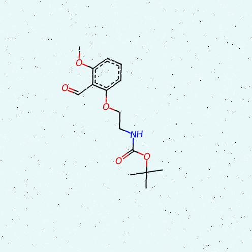 COc1cccc(OCCNC(=O)OC(C)(C)C)c1C=O